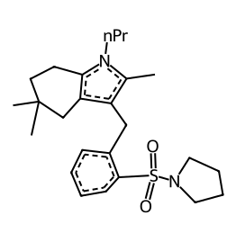 CCCn1c(C)c(Cc2ccccc2S(=O)(=O)N2CCCC2)c2c1CCC(C)(C)C2